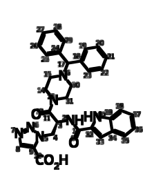 O=C(N[C@@H](Cn1nncc1C(=O)O)C(=O)N1CCN(C(c2ccccc2)c2ccccc2)CC1)c1cc2ccccc2[nH]1